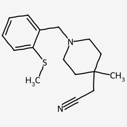 CSc1ccccc1CN1CCC(C)(CC#N)CC1